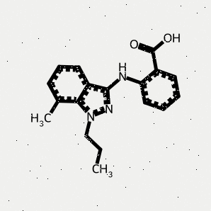 CCCn1nc(Nc2ccccc2C(=O)O)c2cccc(C)c21